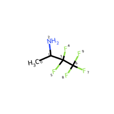 CC(N)C(F)(F)C(F)(F)F